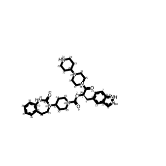 O=C(O[C@H](Cc1ccc2[nH]ncc2c1)C(=O)N1CCN(C2CCNCC2)CC1)N1CCC(N2CCc3ccccc3NC2=O)CC1